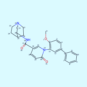 COc1ccc(-c2ccccc2)cc1-n1cc(C(=O)NC2CN3CCC2CC3)ccc1=O